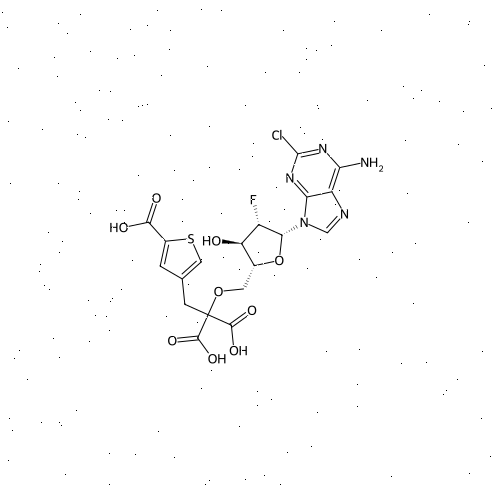 Nc1nc(Cl)nc2c1ncn2[C@@H]1O[C@H](COC(Cc2csc(C(=O)O)c2)(C(=O)O)C(=O)O)[C@@H](O)[C@@H]1F